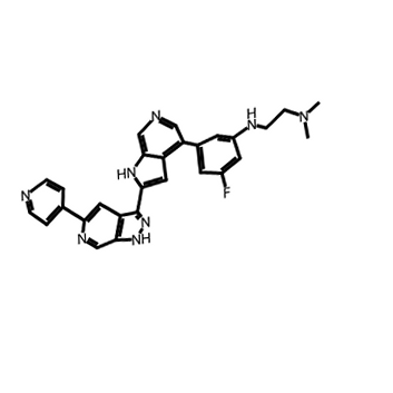 CN(C)CCNc1cc(F)cc(-c2cncc3[nH]c(-c4n[nH]c5cnc(-c6ccncc6)cc45)cc23)c1